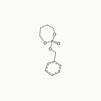 O=P1(OCc2ccccc2)OCCCCO1